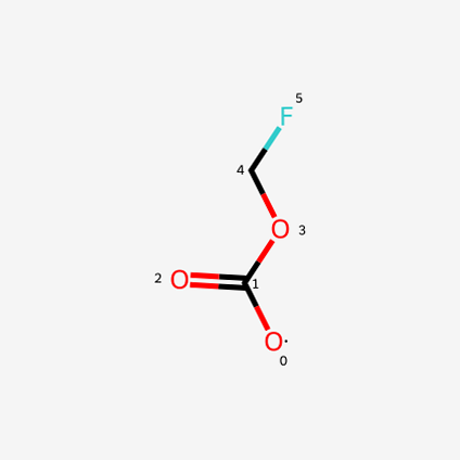 [O]C(=O)OCF